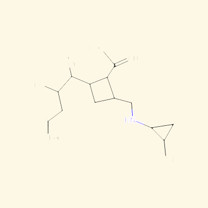 C=C(C)C1C(CNC2CC2C)CC1C(C(C)C)C(C)CCC(C)CCC